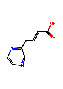 O=C(O)C=CCc1cnccn1